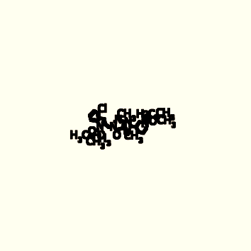 CN1CN(Cc2cc3c(Cl)cccc3n2C(=O)OC(C)(C)C)C(=O)c2c1nc(C1CCCN(C(=O)OC(C)(C)C)C1)n2C